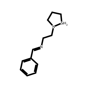 C(=NCCN1CCC[SiH2]1)c1ccccc1